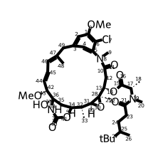 COc1cc2cc(c1Cl)N(C)C(=O)C[C@H](OC(=O)[C@H](C)N(C)C(=O)CCC(C)C(C)(C)C)[C@@]1(C)O[C@H]1[C@H](C)[C@@H]1C[C@@](O)(NC(=O)O1)[C@H](OC)/C=C/C=C(\C)C2